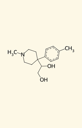 Cc1ccc(C2(C(O)CO)CCN(C)CC2)cc1